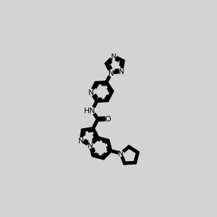 O=C(Nc1ccc(-n2cncn2)cn1)c1cnn2ccc(N3CCCC3)cc12